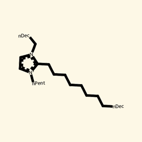 CCCCCCCCCCCCCCCCCCc1n(CCCCCCCCCCC)cc[n+]1CCCCC